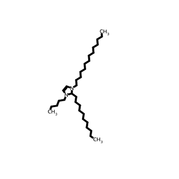 CCCCCCCCCCCCCCN1C=CN(CCCCC)C1CCCCCCCCCCC